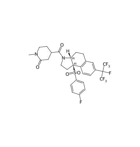 CN1CCC(C(=O)N2CC[C@@]3(S(=O)(=O)c4ccc(F)cc4)c4ccc(C(F)(C(F)(F)F)C(F)(F)F)cc4CC[C@@H]23)CC1=O